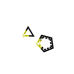 C1CS1.c1ccsc1